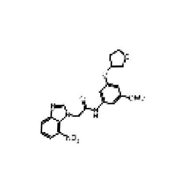 COc1cc(NC(=O)Cn2cnc3cccc([N+](=O)[O-])c32)cc(OC2CCOC2)c1